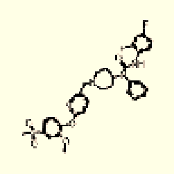 COc1cc(S(C)(=O)=O)ccc1Oc1ccc(CN2CCC(N(C(=O)Nc3ccc(F)cc3F)c3ccccc3)CC2)cn1